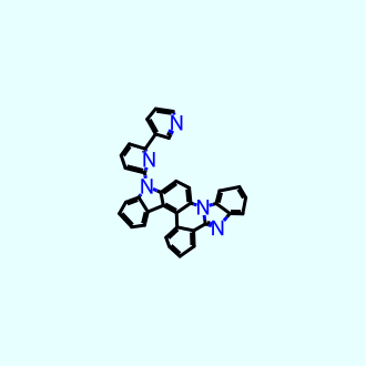 c1cncc(-c2cccc(-n3c4ccccc4c4c5c6ccccc6c6nc7ccccc7n6c5ccc43)n2)c1